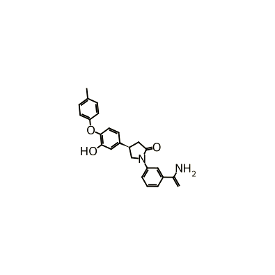 C=C(N)c1cccc(N2C[C@@H](c3ccc(Oc4ccc(C)cc4)c(O)c3)CC2=O)c1